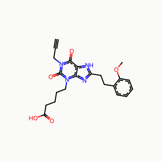 C#CCn1c(=O)c2[nH]c(CCc3ccccc3OC)nc2n(CCCCC(=O)O)c1=O